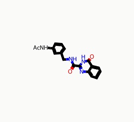 CC(=O)Nc1cccc(CNC(=O)c2nc3ccccc3c(=O)[nH]2)c1